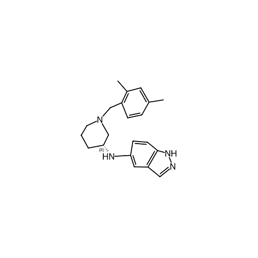 Cc1ccc(CN2CCC[C@@H](Nc3ccc4[nH]ncc4c3)C2)c(C)c1